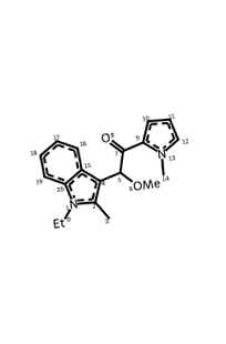 CCn1c(C)c(C(OC)C(=O)c2cccn2C)c2ccccc21